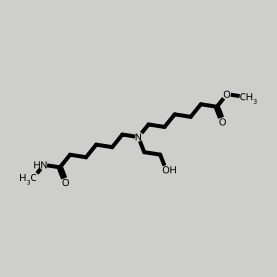 CNC(=O)CCCCCN(CCO)CCCCCC(=O)OC